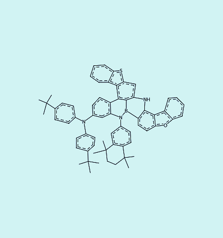 CC(C)(C)c1ccc(N(c2ccc(C(C)(C)C)cc2)c2ccc3c(c2)N(c2ccc4c(c2)C(C)(C)CCC4(C)C)B2c4ccc5oc6ccccc6c5c4Nc4cc5sc6ccccc6c5c-3c42)cc1